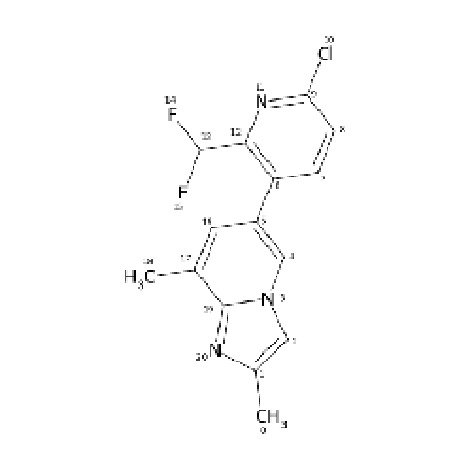 Cc1cn2cc(-c3ccc(Cl)nc3C(F)F)cc(C)c2n1